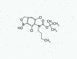 CCCCN(C(=O)OC(C)(C)C)c1c(Cl)cc2c(c1Cl)B(O)OC2